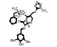 C[N+](C)(C)Cc1ccccc1.Cn1nnnc1SCC1=C(C(=O)[O-])N2C(=O)[C@@H](/N=C/c3cc(C(C)(C)C)c(O)c(C(C)(C)C)c3)[C@H]2SC1